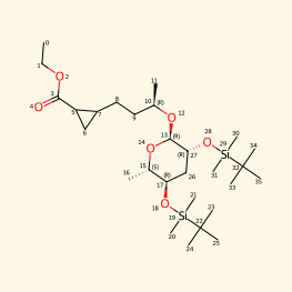 CCOC(=O)C1CC1CC[C@@H](C)O[C@@H]1O[C@@H](C)[C@H](O[Si](C)(C)C(C)(C)C)C[C@H]1O[Si](C)(C)C(C)(C)C